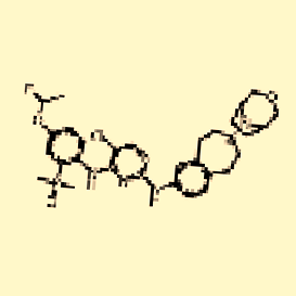 CP(C)(=O)c1cc(OC(F)F)ccc1Nc1nc(Nc2ccc3c(c2)CC[C@H](N2C4CCC2COC4)CC3)ncc1Cl